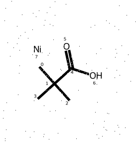 CC(C)(C)C(=O)O.[Ni]